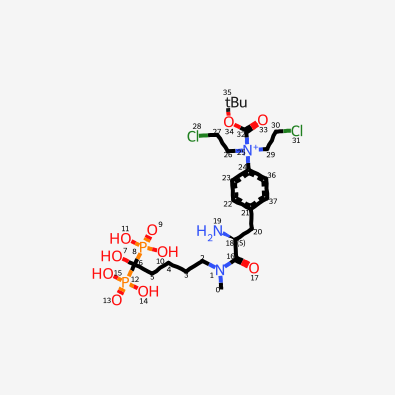 CN(CCCCC(O)(P(=O)(O)O)P(=O)(O)O)C(=O)[C@@H](N)Cc1ccc([N+](CCCl)(CCCl)C(=O)OC(C)(C)C)cc1